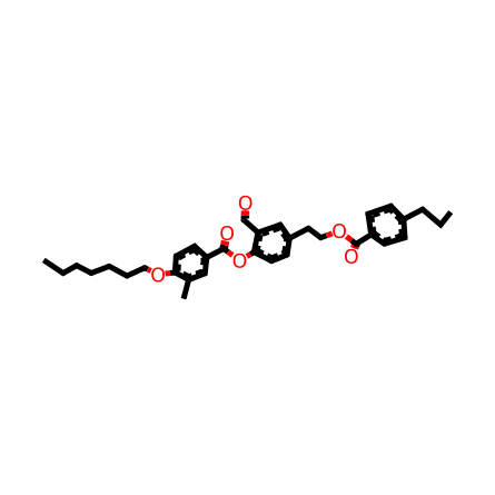 CCCCCCCOc1ccc(C(=O)Oc2ccc(CCOC(=O)c3ccc(CCC)cc3)cc2C=O)cc1C